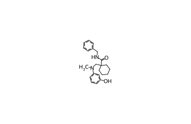 CN(CC1(C(=O)NCc2ccccc2)CCCCC1)c1cccc(O)c1